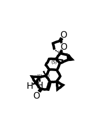 C[C@@]12C(=CC(=O)[C@@H]3C[C@@H]31)C1(CC1)CC1C2CC[C@@]2(C)C1C1CC1[C@@]21CCC(=O)O1